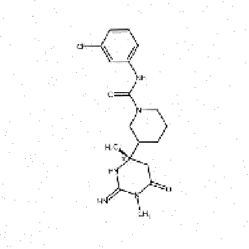 CN1C(=N)N[C@](C)(C2CCCN(C(=O)Nc3cccc(Cl)c3)C2)CC1=O